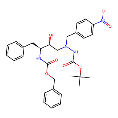 CC(C)(C)OC(=O)NN(Cc1ccc([N+](=O)[O-])cc1)C[C@H](O)[C@H](Cc1ccccc1)NC(=O)OCc1ccccc1